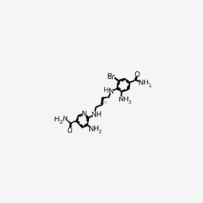 NC(=O)c1cnc(NC/C=C/CNc2c(N)cc(C(N)=O)cc2Br)c(N)c1